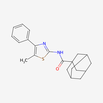 Cc1sc(NC(=O)C23CC4CC(CC(C4)C2)C3)nc1-c1ccccc1